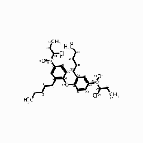 CCCCCc1cc([S+]([O-])C(Cl)CC)ccc1Oc1ccc([S+]([O-])C(Cl)CC)cc1CCCCC